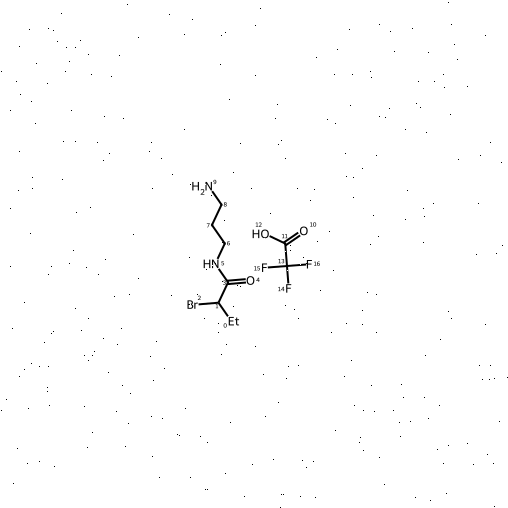 CCC(Br)C(=O)NCCCN.O=C(O)C(F)(F)F